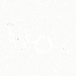 CCC(C)C1CN1S(=O)(=O)c1ccc(C)cc1